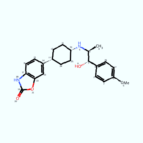 COc1ccc([C@H](O)[C@H](C)N[C@H]2CC[C@@H](c3ccc4[nH]c(=O)oc4c3)CC2)cc1